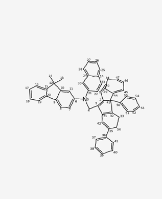 C=CC1=C(CN(c2ccc3c(c2)C(C)(C)c2ccccc2-3)c2ccc3ccccc3c2)C2=C(CCC(c3ccccc3)=C2)C1(C1=CC=CCC1)c1ccccc1